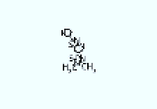 Cc1nn(-c2cnc3nc(-c4cccnc4)sc3c2)c(=S)n1C